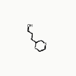 OCCCC1CSCCS1